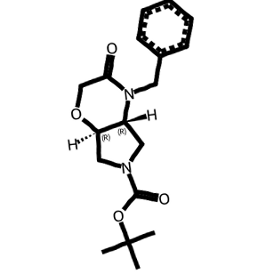 CC(C)(C)OC(=O)N1C[C@@H]2[C@@H](C1)OCC(=O)N2Cc1ccccc1